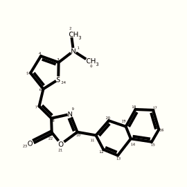 CN(C)c1ccc(/C=C2\N=C(c3ccc4ccccc4c3)OC2=O)s1